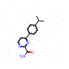 CC(C)c1ccc(-c2ccnc(C(N)=O)n2)cc1